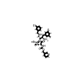 CCCCS(=O)(=O)C[C@@H](NC(=O)OCc1cccnc1)C(=O)O[C@H](CNCc1cccc(CC)c1)[C@@H](N)Cc1cc(F)cc(F)c1